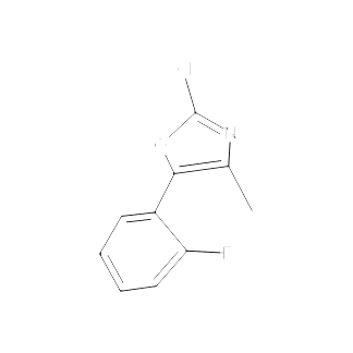 Cc1nc(Cl)oc1-c1ccccc1F